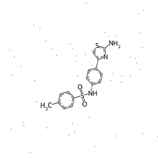 Cc1ccc(S(=O)(=O)Nc2ccc(-c3csc(N)n3)cc2)cc1